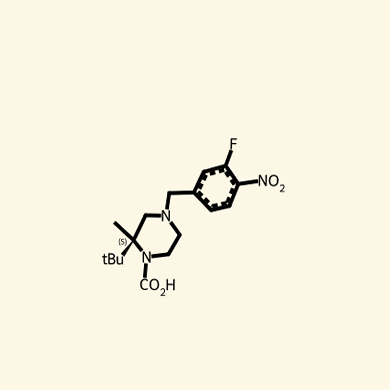 CC(C)(C)[C@@]1(C)CN(Cc2ccc([N+](=O)[O-])c(F)c2)CCN1C(=O)O